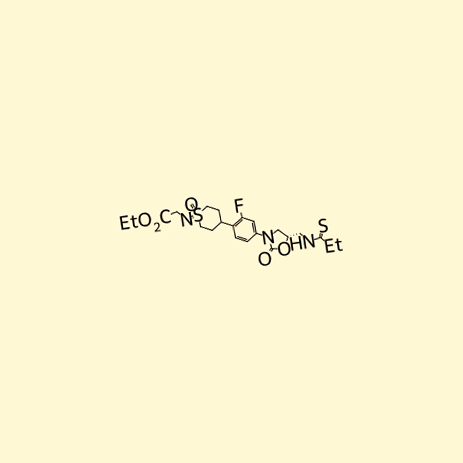 CCOC(=O)CN=S1(=O)CCC(c2ccc(N3C[C@H](CNC(=S)CC)OC3=O)cc2F)CC1